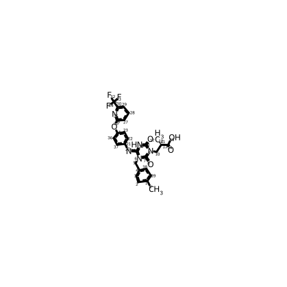 Cc1ccc(Cn2c(=O)n(C[C@H](C)C(=O)O)c(=O)[nH]/c2=N\c2ccc(Oc3cccc(C(F)(F)F)n3)cc2)cc1